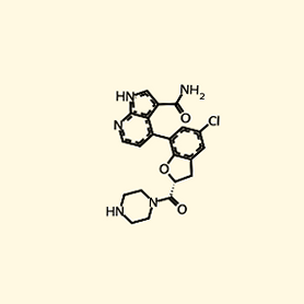 NC(=O)c1c[nH]c2nccc(-c3cc(Cl)cc4c3O[C@@H](C(=O)N3CCNCC3)C4)c12